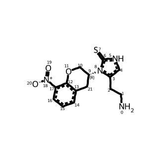 NCCc1c[nH]c(=S)n1[C@H]1COc2c(cccc2[N+](=O)[O-])C1